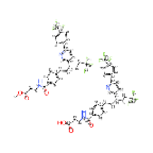 COC(=O)CCNC(=O)c1ccc(C=CC(CCC(F)(F)F)c2ccc(-c3ccc(C(F)(F)F)cc3)nc2)cc1.O=C(O)CCNC(=O)c1ccc(C=CC(CCC(F)(F)F)c2ccc(-c3ccc(C(F)(F)F)cc3)nc2)cc1